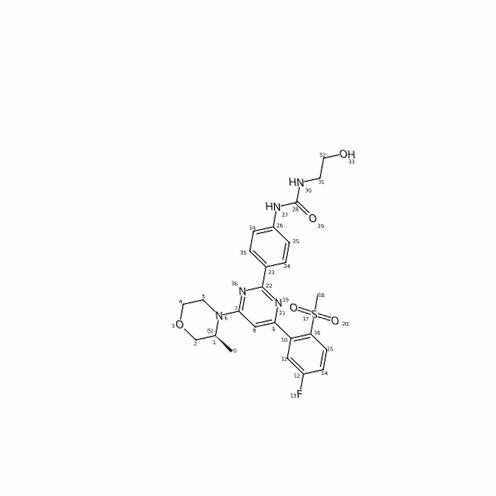 C[C@H]1COCCN1c1cc(-c2cc(F)ccc2S(C)(=O)=O)nc(-c2ccc(NC(=O)NCCO)cc2)n1